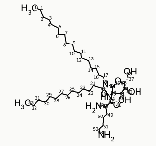 CCCCCCCCCCCCCCCCCCN(C(=O)CCCCCCCCCCCCC)[C@@H]1O[C@H](CO)[C@@H](O)[C@H](O)[C@H]1NC(=O)[C@@H](N)CCCCN